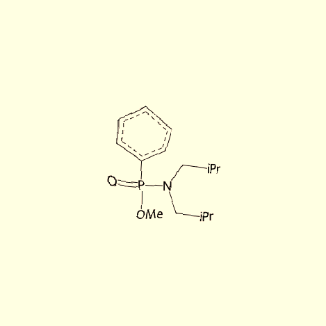 COP(=O)(c1ccccc1)N(CC(C)C)CC(C)C